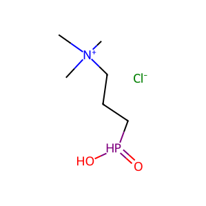 C[N+](C)(C)CCC[PH](=O)O.[Cl-]